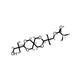 CP(C)C(=O)OCC(C)(C)C1OCC2(COC(C(C)(C)CO)OC2)CO1